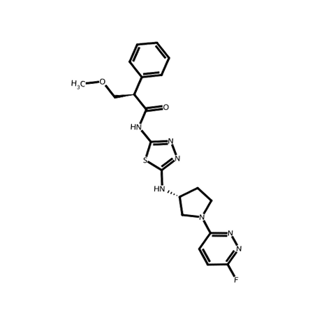 COC[C@H](C(=O)Nc1nnc(N[C@@H]2CCN(c3ccc(F)nn3)C2)s1)c1ccccc1